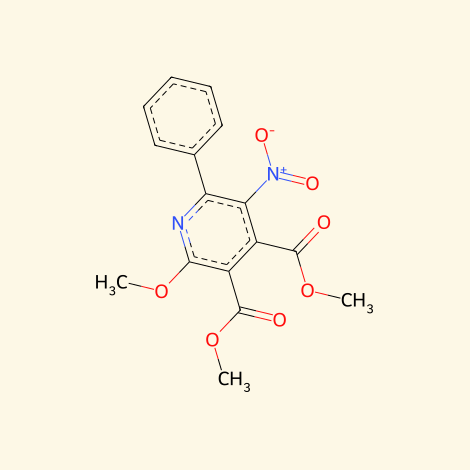 COC(=O)c1c(OC)nc(-c2ccccc2)c([N+](=O)[O-])c1C(=O)OC